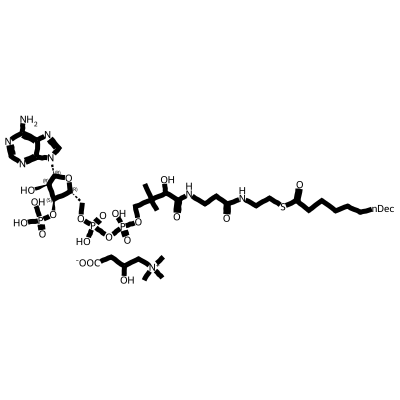 CCCCCCCCCCCCCCCC(=O)SCCNC(=O)CCNC(=O)C(O)C(C)(C)COP(=O)(O)OP(=O)(O)OC[C@H]1O[C@@H](n2cnc3c(N)ncnc32)[C@H](O)[C@@H]1OP(=O)(O)O.C[N+](C)(C)CC(O)CC(=O)[O-]